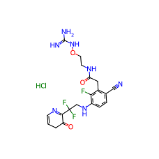 Cl.N#Cc1ccc(NCC(F)(F)C2=NC=CCC2=O)c(F)c1CC(=O)NCCONC(=N)N